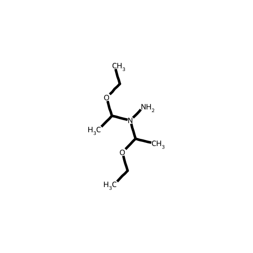 CCOC(C)N(N)C(C)OCC